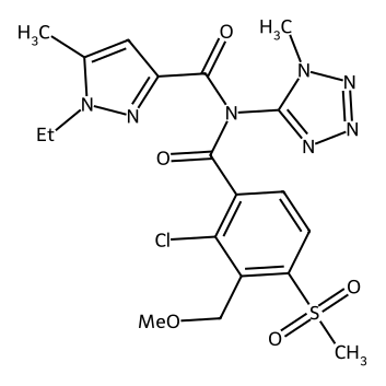 CCn1nc(C(=O)N(C(=O)c2ccc(S(C)(=O)=O)c(COC)c2Cl)c2nnnn2C)cc1C